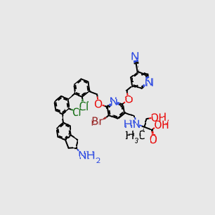 C[C@@](CO)(NCc1cc(Br)c(OCc2cccc(-c3cccc(-c4ccc5c(c4)C[C@@H](N)C5)c3Cl)c2Cl)nc1OCc1cncc(C#N)c1)C(=O)O